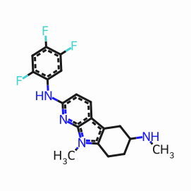 CNC1CCc2c(c3ccc(Nc4cc(F)c(F)cc4F)nc3n2C)C1